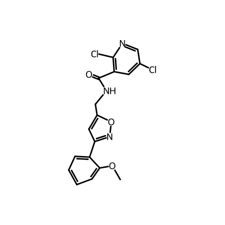 COc1ccccc1-c1cc(CNC(=O)c2cc(Cl)cnc2Cl)on1